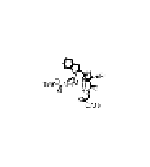 CCCc1nc(C2Cc3ccccc3N2C(=O)CNC(=O)OC(C)(C)C)[nH]c1C(=O)NCC(=O)OC